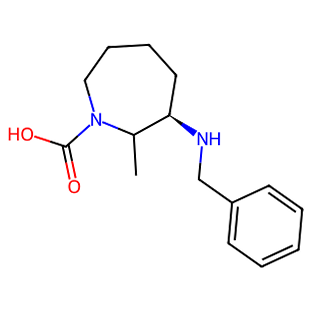 CC1[C@H](NCc2ccccc2)CCCCN1C(=O)O